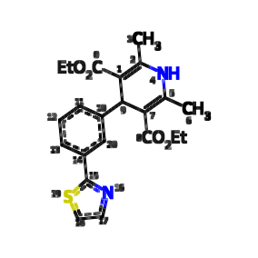 CCOC(=O)C1=C(C)NC(C)=C(C(=O)OCC)C1c1cccc(-c2nccs2)c1